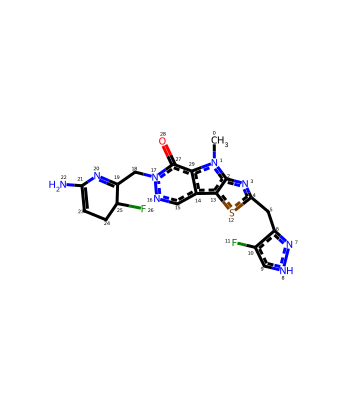 Cn1c2nc(Cc3n[nH]cc3F)sc2c2cnn(CC3=NC(N)=CCC3F)c(=O)c21